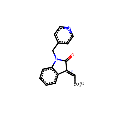 CCOC(=O)/C=C1/C(=O)N(Cc2ccncc2)c2ccccc21